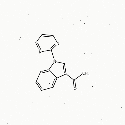 CC(=O)c1cn(-c2ncccn2)c2ccccc12